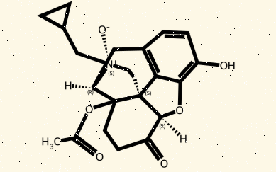 CC(=O)OC12CCC(=O)[C@@H]3Oc4c(O)ccc5c4[C@@]31CC[N@+]([O-])(CC1CC1)[C@@H]2C5